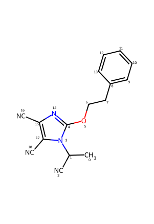 CC(C#N)n1c(OCCc2ccccc2)nc(C#N)c1C#N